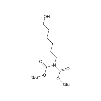 CC(C)(C)OC(=O)N(CCCCCCO)C(=O)OC(C)(C)C